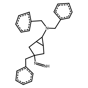 N=NC1(Cc2ccccc2)CC2C(C1)C2N(Cc1ccccc1)Cc1ccccc1